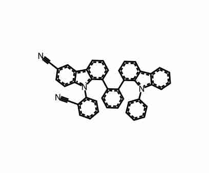 N#Cc1ccc2c(c1)c1cccc(-c3ccccc3-c3cccc4c5ccccc5n(-c5ccccc5)c34)c1n2-c1ccccc1C#N